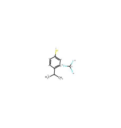 CC(C)c1ccc(S)cc1.FC(F)F